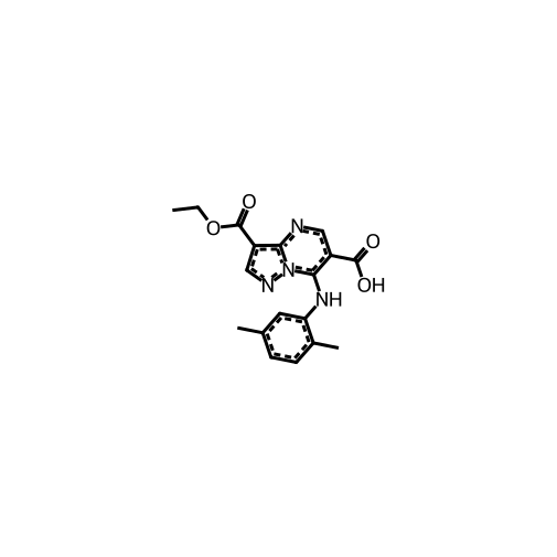 CCOC(=O)c1cnn2c(Nc3cc(C)ccc3C)c(C(=O)O)cnc12